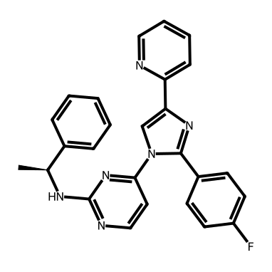 C[C@H](Nc1nccc(-n2cc(-c3ccccn3)nc2-c2ccc(F)cc2)n1)c1ccccc1